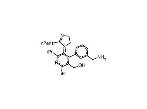 CCCCCC1=NCC[SH]1c1c(C(C)C)nc(C(C)C)c(CO)c1-c1cccc(CN)c1